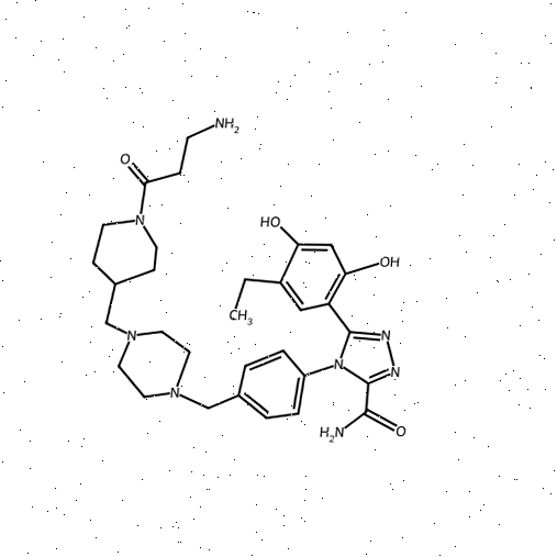 CCc1cc(-c2nnc(C(N)=O)n2-c2ccc(CN3CCN(CC4CCN(C(=O)CCN)CC4)CC3)cc2)c(O)cc1O